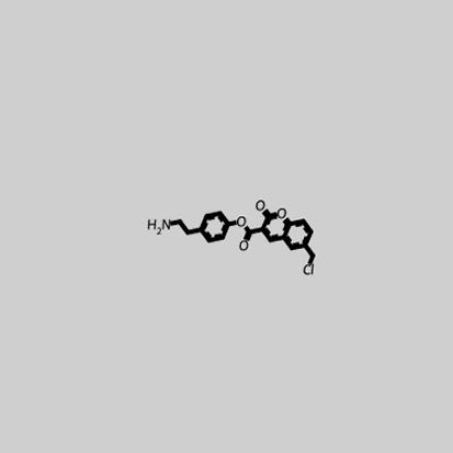 NCCc1ccc(OC(=O)c2cc3cc(CCl)ccc3oc2=O)cc1